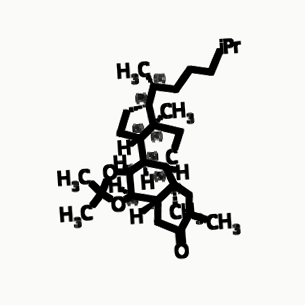 CC(C)CCC[C@@H](C)[C@H]1CC[C@H]2[C@@H]3[C@H]4OC(C)(C)O[C@@H]4[C@H]4CC(=O)C(C)C[C@]4(C)[C@H]3CC[C@]12C